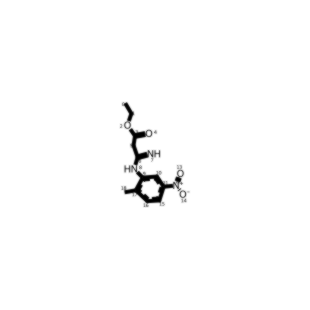 CCOC(=O)CC(=N)Nc1cc([N+](=O)[O-])ccc1C